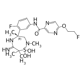 CN1C[C@@](C)(c2cc(NC(=O)c3cnc(OCCF)cn3)ccc2F)NC(=N)C(C)(C)S1(O)O